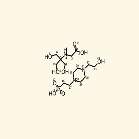 O=C(O)CNC(CO)(CO)CO.O=S(=O)(O)CCN1CCN(CCO)CC1